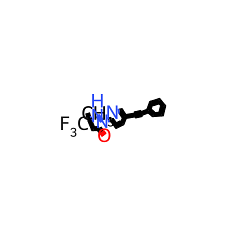 CC1(C(F)(F)F)CC(=O)N(c2ccc(C#Cc3ccccc3)cn2)N1